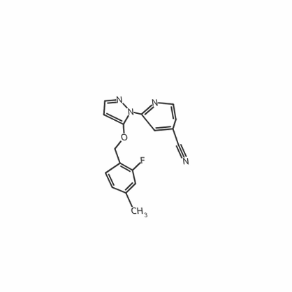 Cc1ccc(COc2ccnn2-c2cc(C#N)ccn2)c(F)c1